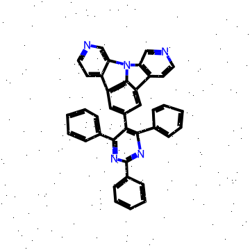 c1ccc(-c2nc(-c3ccccc3)c(-c3cc4c5ccncc5n5c6cnccc6c(c3)c45)c(-c3ccccc3)n2)cc1